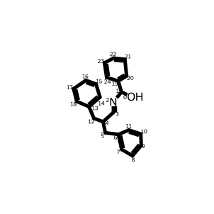 OC(N=CC([CH]c1ccccc1)Cc1ccccc1)c1ccccc1